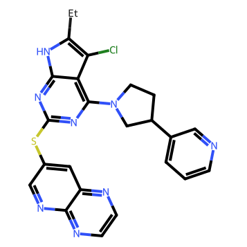 CCc1[nH]c2nc(Sc3cnc4nccnc4c3)nc(N3CCC(c4cccnc4)C3)c2c1Cl